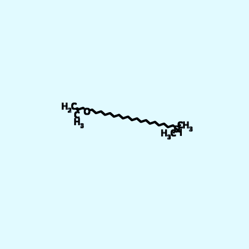 C=C(C)COCCCCCCCCCCCCCCCCCCC[Si](C)(C)I